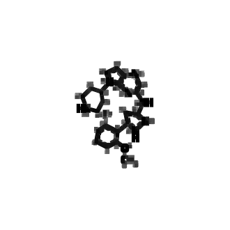 COc1cccc(F)c1-c1cc(Nc2cnc3ccn(C4CCNCC4)c3n2)n[nH]1